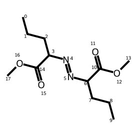 CCCC(/N=N/C(CCC)C(=O)OC)C(=O)OC